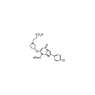 CCCCCn1c(O[C@H]2CCN(CCC(=O)O)C2)cc(=O)n2cc(-c3ccc(Cl)cc3)nc12